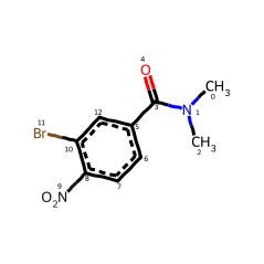 CN(C)C(=O)c1ccc([N+](=O)[O-])c(Br)c1